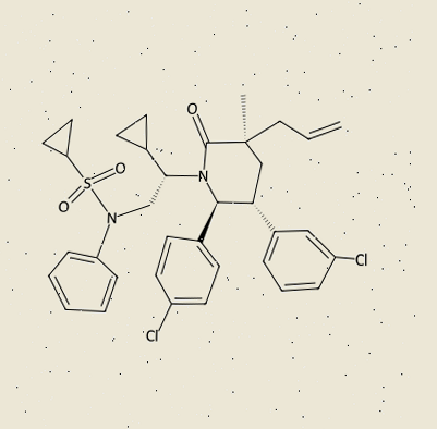 C=CC[C@@]1(C)C[C@H](c2cccc(Cl)c2)[C@@H](c2ccc(Cl)cc2)N([C@H](CN(c2ccccc2)S(=O)(=O)C2CC2)C2CC2)C1=O